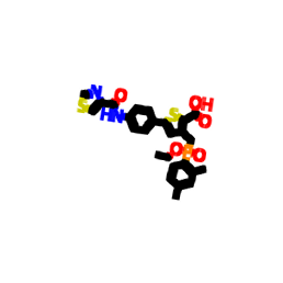 CCOP(=O)(Cc1cc(-c2ccc(NC(=O)c3cscn3)cc2)sc1C(=O)O)c1ccc(C)cc1C